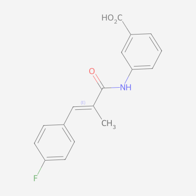 C/C(=C\c1ccc(F)cc1)C(=O)Nc1cccc(C(=O)O)c1